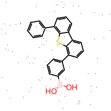 OB(O)c1cccc(-c2cccc3c2sc2c(-c4ccccc4)cccc23)c1